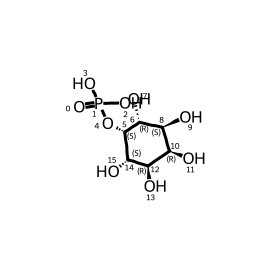 O=P(O)(O)O[C@@H]1[C@H](O)[C@@H](O)[C@@H](O)[C@@H](O)[C@@H]1O